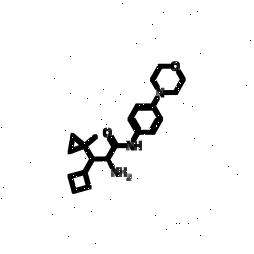 CC1(C(C2CCC2)[C@H](N)C(=O)Nc2ccc(N3CCOCC3)cc2)CC1